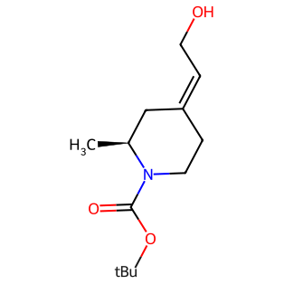 C[C@H]1C/C(=C\CO)CCN1C(=O)OC(C)(C)C